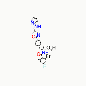 CCc1cc(F)cc(C)c1C(=O)NC(Cc1ccc(C2=NCC(CNc3ccccn3)CO2)cc1)C(=O)O